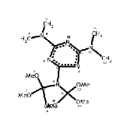 COC(OC)(OC)N(c1nc(N(C)C)nc(N(C)C)n1)C(OC)(OC)OC